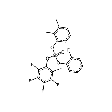 Cc1cccc([O][Sb](=[O])([O]c2ccccc2F)[O]c2c(F)c(F)c(F)c(F)c2F)c1C